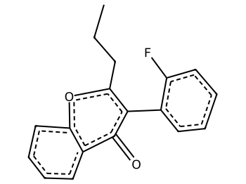 CCCc1oc2ccccc2c(=O)c1-c1ccccc1F